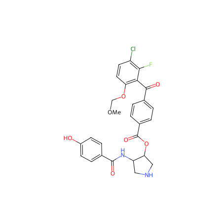 COCOc1ccc(Cl)c(F)c1C(=O)c1ccc(C(=O)OC2CNCC2NC(=O)c2ccc(O)cc2)cc1